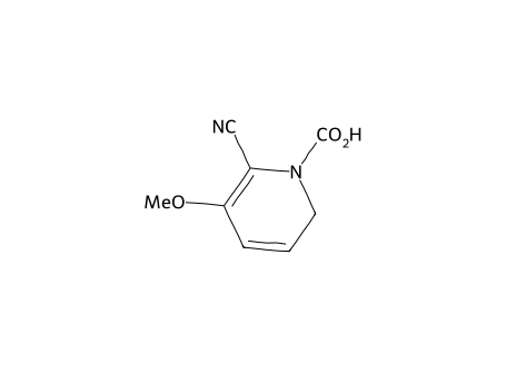 COC1=C(C#N)N(C(=O)O)CC=C1